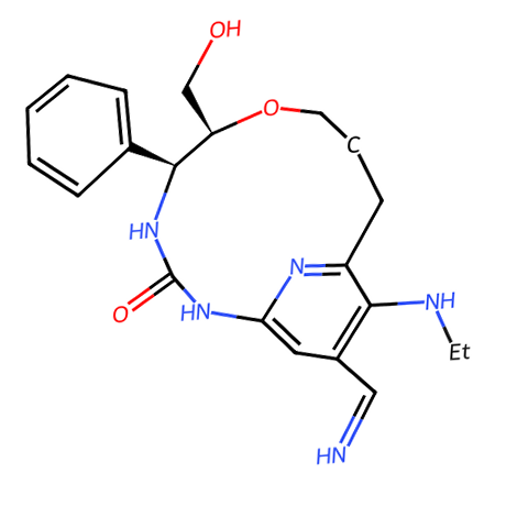 CCNc1c(C=N)cc2nc1CCCO[C@H](CO)[C@H](c1ccccc1)NC(=O)N2